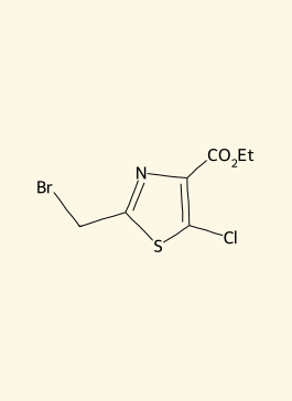 CCOC(=O)c1nc(CBr)sc1Cl